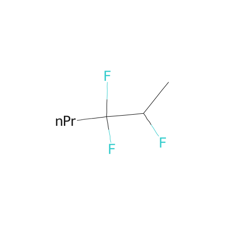 [CH2]CCC(F)(F)C(C)F